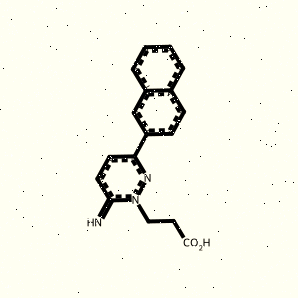 N=c1ccc(-c2ccc3ccccc3c2)nn1CCC(=O)O